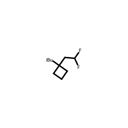 CCC(C)C1(CC(F)F)CCC1